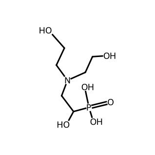 O=P(O)(O)C(O)CN(CCO)CCO